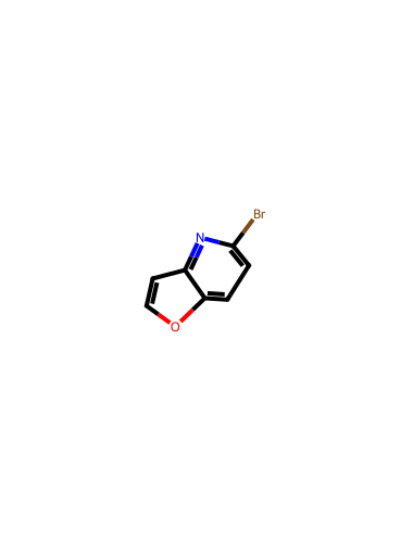 Brc1ccc2occc2n1